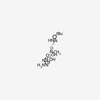 CC(O)N(C[C@@H]1C[C@@H](O)[C@H](n2cnc3c(N)ncnc32)O1)[C@H]1C[C@@H](CCc2nc3cc(C(C)(C)C)ccc3[nH]2)C1